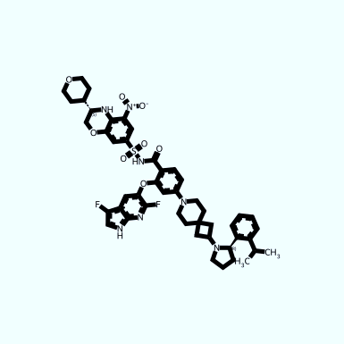 CC(C)c1ccccc1[C@H]1CCCN1C1CC2(CCN(c3ccc(C(=O)NS(=O)(=O)c4cc5c(c([N+](=O)[O-])c4)N[C@@H](C4CCOCC4)CO5)c(Oc4cc5c(F)c[nH]c5nc4F)c3)CC2)C1